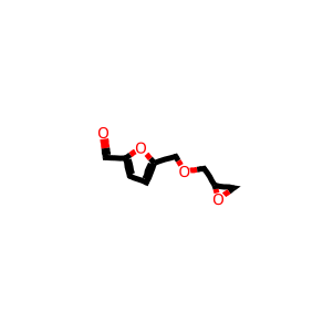 O=Cc1ccc(COCC2CO2)o1